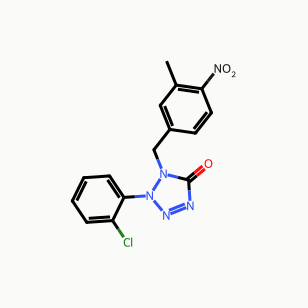 Cc1cc(Cn2c(=O)nnn2-c2ccccc2Cl)ccc1[N+](=O)[O-]